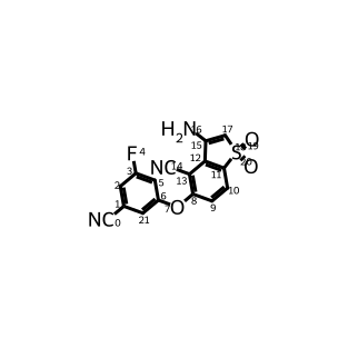 N#Cc1cc(F)cc(Oc2ccc3c(c2C#N)C(N)=CS3(=O)=O)c1